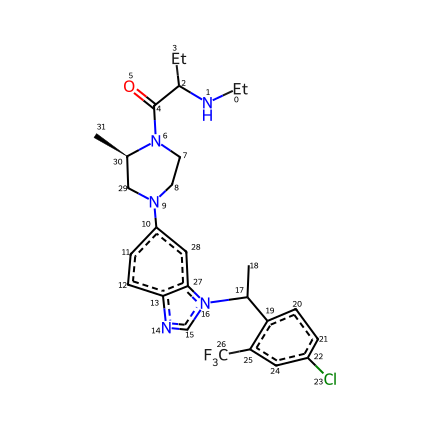 CCNC(CC)C(=O)N1CCN(c2ccc3ncn(C(C)c4ccc(Cl)cc4C(F)(F)F)c3c2)C[C@H]1C